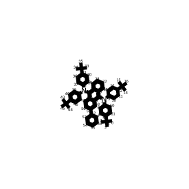 CC(C)(C)c1ccc(N(C2=CCC(C(C)(C)C)C=C2)c2c3ccccc3c(N(c3ccc(C(C)(C)C)cc3)c3ccc(C(C)(C)C)cc3)c3ccc(-c4ccccc4)cc23)cc1